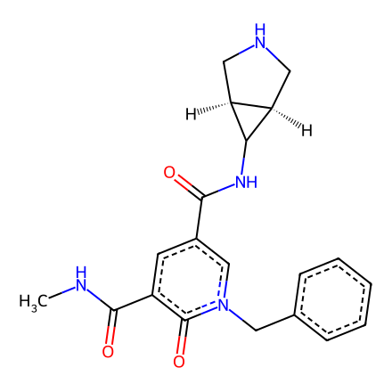 CNC(=O)c1cc(C(=O)NC2[C@H]3CNC[C@@H]23)cn(Cc2ccccc2)c1=O